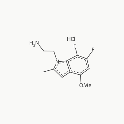 COc1cc(F)c(F)c2c1cc(C)n2CCN.Cl